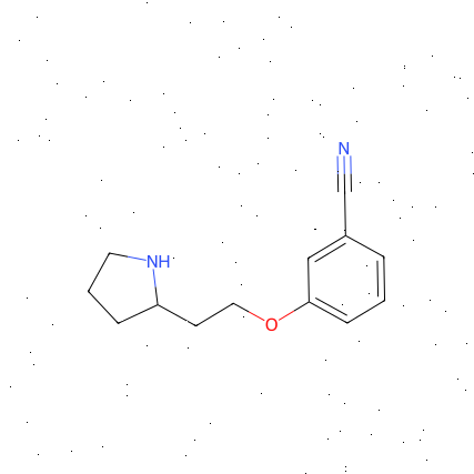 N#Cc1cccc(OCCC2CCCN2)c1